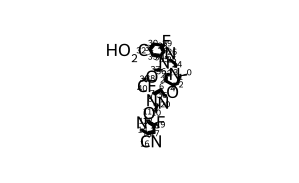 C[C@H]1C[C@@H](Oc2ccnc(COc3ncc(C#N)cc3F)n2)CCN1Cc1nc2c(F)cc(C(=O)O)cc2n1CCOCC(F)(F)F